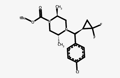 C[C@@H]1CN(C(=O)OC(C)(C)C)[C@@H](C)CN1C(c1ccc(Cl)cc1)[C@H]1CC1(F)F